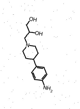 Nc1ccc(C2CCN(CC(O)CO)CC2)cc1